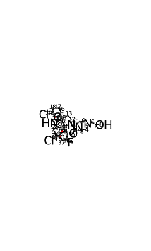 O=C(N1CCN(CCO)CC1)N1CC[C@@H](C2C=CC=C(Cl)C2)[C@]2(C(=O)Nc3cc(Cl)ccc32)[C@@H]1c1cccc(F)c1